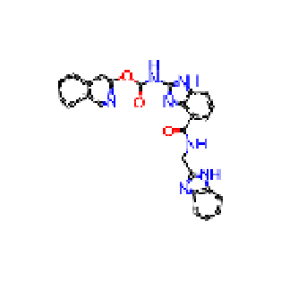 O=C(Nc1nc2c(C(=O)NCc3nc4ccccc4[nH]3)cccc2[nH]1)Oc1cc2ccccc2cn1